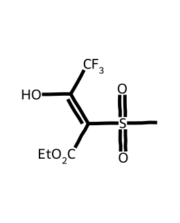 CCOC(=O)/C(=C(\O)C(F)(F)F)S(C)(=O)=O